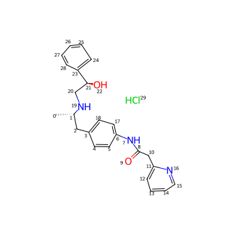 C[C@@H](Cc1ccc(NC(=O)Cc2ccccn2)cc1)NC[C@H](O)c1ccccc1.Cl